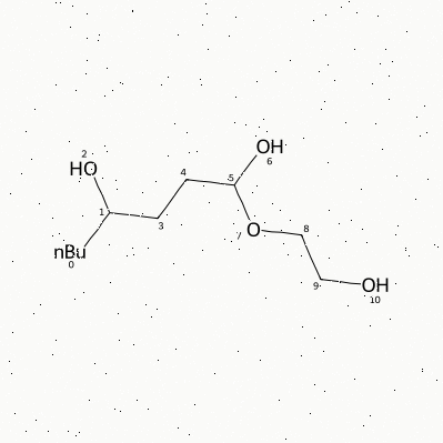 CCCCC(O)CCC(O)OCCO